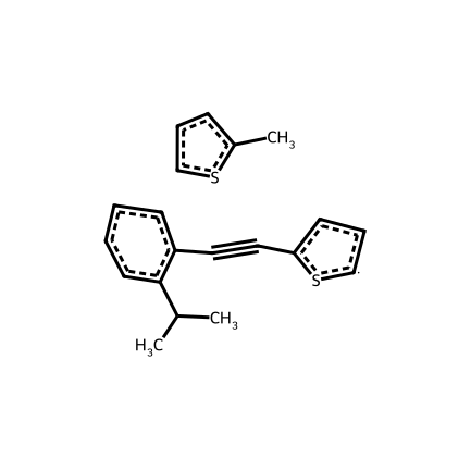 CC(C)c1ccccc1C#Cc1cc[c]s1.Cc1cccs1